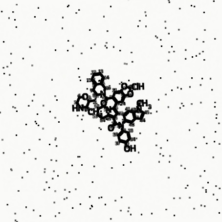 C[C@H]1NCCOC1C[C@@H]1Cc2ccccc2CN1C(=O)c1cc2c(cc1-c1cc(C(=O)N(c3ccc(O)cc3)c3ccc4c(ccn4C)c3)c3n1CCCC3)OCO2.Cl